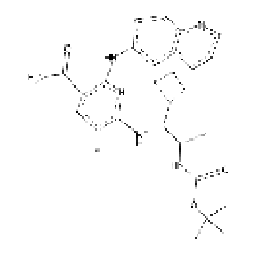 C[C@H](NC(=O)OC(C)(C)C)[C@H](Nc1nc(Nc2ccc3ncccc3c2)c(C(N)=O)cc1F)C1CCC1